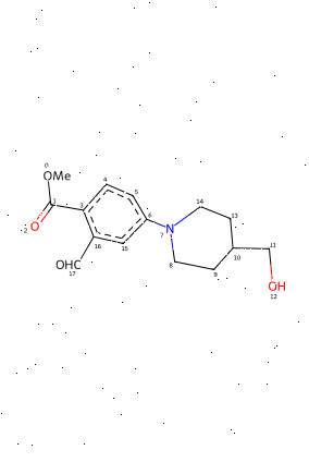 COC(=O)c1ccc(N2CCC(CO)CC2)cc1C=O